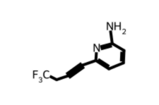 Nc1cccc(C#CCC(F)(F)F)n1